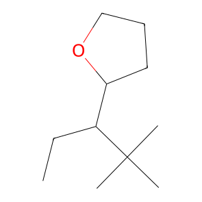 CCC(C1CCCO1)C(C)(C)C